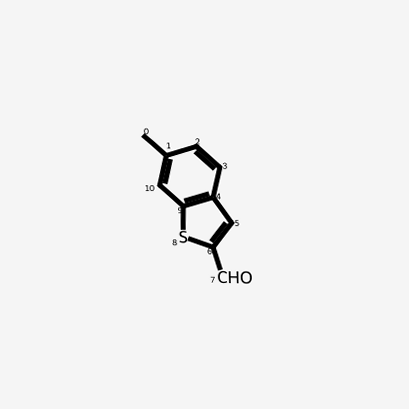 Cc1ccc2cc(C=O)sc2c1